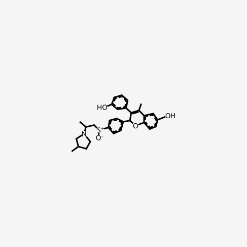 CC1=C(c2cccc(O)c2)C(c2ccc([S+]([O-])CC(C)N3CCC(C)C3)cc2)Oc2ccc(O)cc21